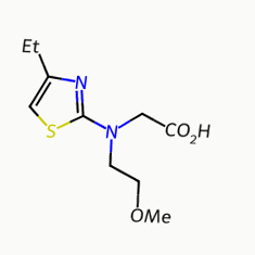 CCc1csc(N(CCOC)CC(=O)O)n1